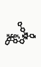 CC1(C)c2cc(-c3cccc(-c4nc(-c5ccncc5)nc(-c5ccc(-c6ccccc6)cc5)n4)c3)ccc2-c2c1ccc1ccccc21